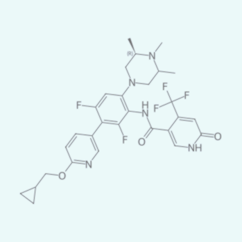 CC1CN(c2cc(F)c(-c3ccc(OCC4CC4)nc3)c(F)c2NC(=O)c2c[nH]c(=O)cc2C(F)(F)F)C[C@@H](C)N1C